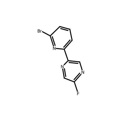 Fc1cnc(-c2cccc(Br)n2)cn1